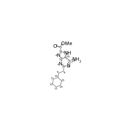 COC(=O)c1nc2nc(CCC3CCCCC3)nc(N)c2[nH]1